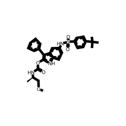 COC[C@@H](C)NC(=O)Oc1[nH]c2ccc(NS(=O)(=O)c3ccc(C(C)(C)C)cc3)cc2c1-c1ccccc1